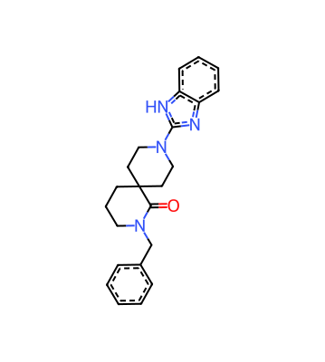 O=C1N(Cc2ccccc2)CCCC12CCN(c1nc3ccccc3[nH]1)CC2